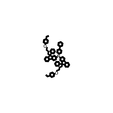 C=Cc1ccc(OCCCCC2(c3ccccc3)c3ccccc3-c3ccc(N(c4ccc(-c5ccccc5)cc4)c4ccc5c(c4)C(CCCCOc4ccc(C=C)cc4)(c4ccccc4)c4ccccc4-5)cc32)cc1